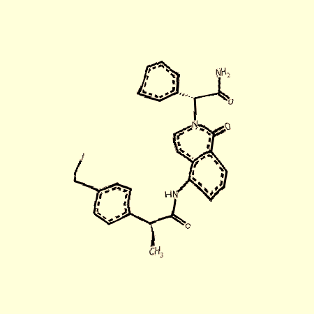 C[C@H](C(=O)Nc1cccc2c(=O)n([C@@H](C(N)=O)c3ccccc3)ccc12)c1ccc(CI)cc1